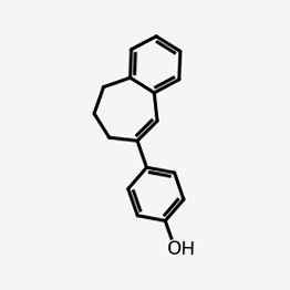 Oc1ccc(C2=Cc3ccccc3CCC2)cc1